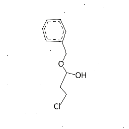 OC(CCCl)OCc1ccccc1